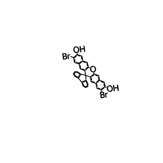 Oc1cc2cc3c(cc2cc1Br)C1(c2cc4cc(Br)c(O)cc4cc2O3)c2ccccc2-c2ccccc21